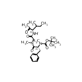 CCC(C)[C@H](NC(=O)CN(C)C(=O)[C@@H](Cc1ccccc1)N(C)C(=O)OC(C)(C)C)C(C)=O